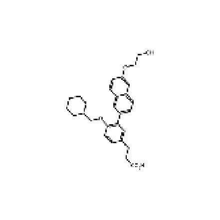 O=C(O)CCc1ccc(OCC2CCCCC2)c(-c2ccc3cc(OCCO)ccc3c2)c1